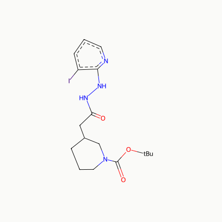 CC(C)(C)OC(=O)N1CCCC(CC(=O)NNc2ncccc2I)C1